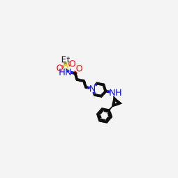 CCS(=O)(=O)NC(=O)CCCN1CCC(N[C@@H]2C[C@H]2c2ccccc2)CC1